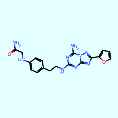 NC(=O)CNc1ccc(CCNc2nc(N)n3nc(-c4ccco4)nc3n2)cc1